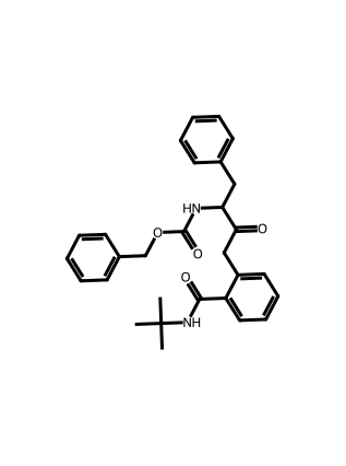 CC(C)(C)NC(=O)c1ccccc1CC(=O)C(Cc1ccccc1)NC(=O)OCc1ccccc1